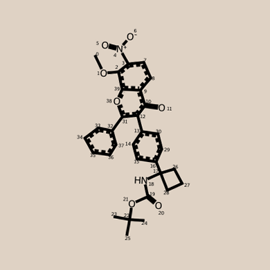 COc1c([N+](=O)[O-])ccc2c(=O)c(-c3ccc(C4(NC(=O)OC(C)(C)C)CCC4)cc3)c(-c3ccccc3)oc12